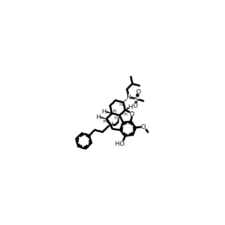 COc1cc(O)c2c3c1O[C@H]1[C@@H](N(CC(C)C)S(C)(=O)=O)CC[C@H]4[C@@H](C2)N(CCc2ccccc2)CC[C@@]341